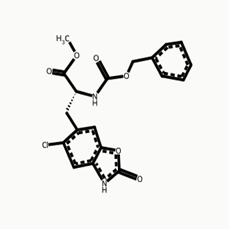 COC(=O)[C@@H](Cc1cc2oc(=O)[nH]c2cc1Cl)NC(=O)OCc1ccccc1